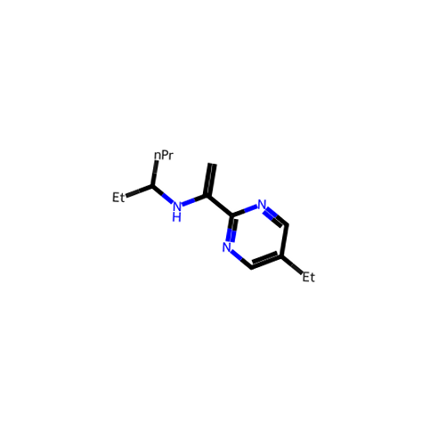 C=C(NC(CC)CCC)c1ncc(CC)cn1